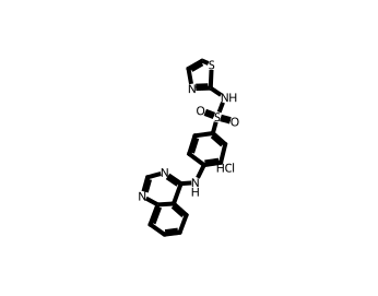 Cl.O=S(=O)(Nc1nccs1)c1ccc(Nc2ncnc3ccccc23)cc1